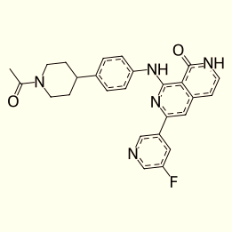 CC(=O)N1CCC(c2ccc(Nc3nc(-c4cncc(F)c4)cc4cc[nH]c(=O)c34)cc2)CC1